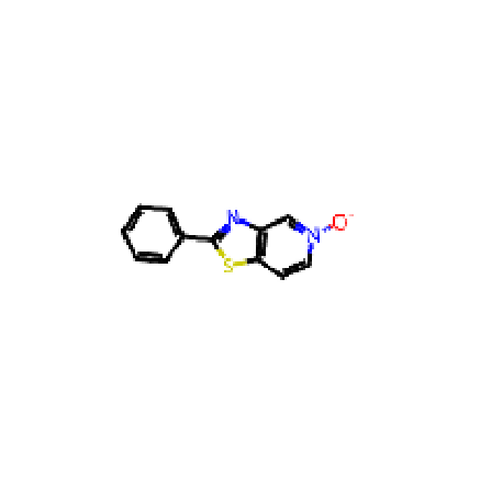 [O-][n+]1ccc2sc(-c3ccccc3)nc2c1